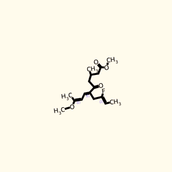 C/C=C(\F)C/C(=C\C=C(/C)OC)C(=O)CC(C)CC(=O)OC